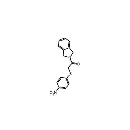 O=C(CSc1ccc([N+](=O)[O-])cc1)N1Cc2ccccc2C1